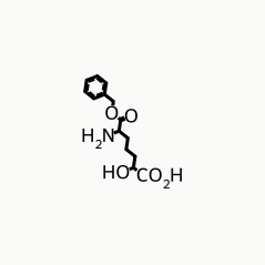 NC(CCCC(O)C(=O)O)C(=O)OCc1ccccc1